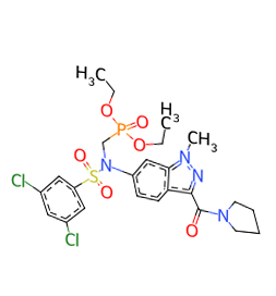 CCOP(=O)(CN(c1ccc2c(C(=O)N3CCCC3)nn(C)c2c1)S(=O)(=O)c1cc(Cl)cc(Cl)c1)OCC